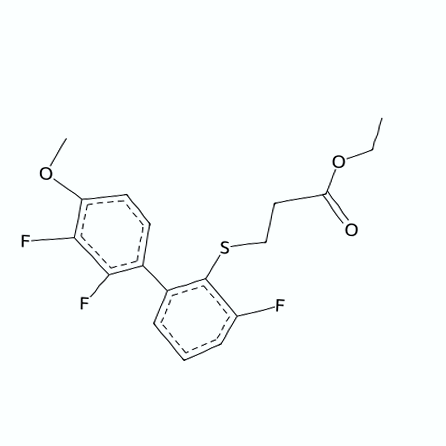 CCOC(=O)CCSc1c(F)cccc1-c1ccc(OC)c(F)c1F